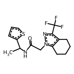 CC(NC(=O)Cn1nc(C(F)(F)F)c2c1CCCC2)c1cccs1